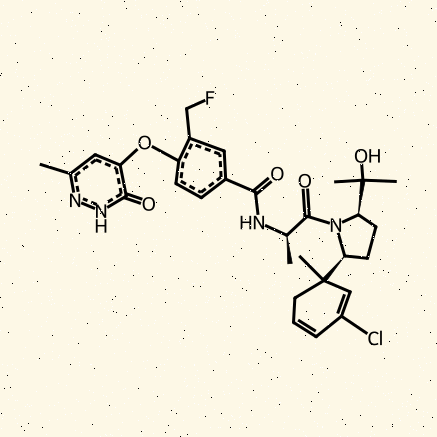 Cc1cc(Oc2ccc(C(=O)N[C@H](C)C(=O)N3[C@H](C4(C)C=C(Cl)C=CC4)CC[C@@H]3C(C)(C)O)cc2CF)c(=O)[nH]n1